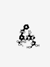 CC(=O)Nc1ccc(-c2nnc(-c3ccccc3)o2)cc1Nc1nc(N)c2ncn([C@H]3C[C@@H](O)[C@@H](CO)O3)c2n1